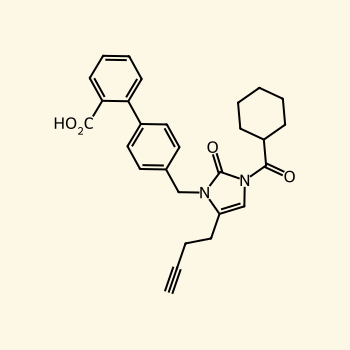 C#CCCc1cn(C(=O)C2CCCCC2)c(=O)n1Cc1ccc(-c2ccccc2C(=O)O)cc1